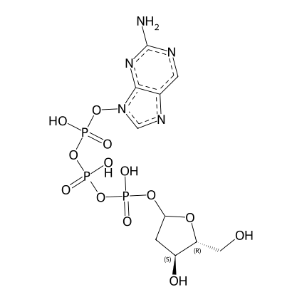 Nc1ncc2ncn(OP(=O)(O)OP(=O)(O)OP(=O)(O)OC3C[C@H](O)[C@@H](CO)O3)c2n1